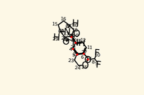 O=S(=O)(c1ccc(OC(F)F)cc1)N1[C@@H]2CC[C@H]1CC(NCC1CCOCC1)C2